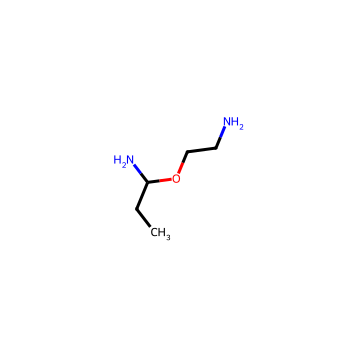 CCC(N)OCCN